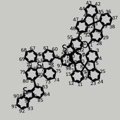 O=C(c1ccc2c(c1)C1(c3ccccc3-c3ccccc31)c1ccccc1-2)c1ccc2c(c1)C1(c3ccccc3-2)c2ccccc2-c2ccc(-c3ccc4c(c3)sc3c(-c5cccc([Si](c6ccccc6)(c6ccccc6)c6cccc(-c7cccc8c7sc7ccccc78)c6)c5)cccc34)cc21